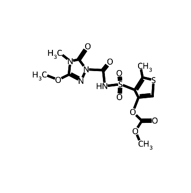 COC(=O)Oc1csc(C)c1S(=O)(=O)NC(=O)n1nc(OC)n(C)c1=O